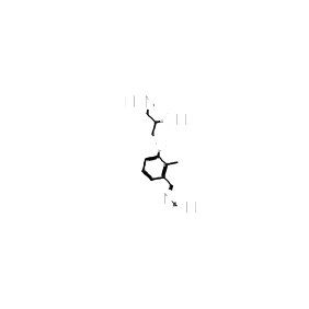 Cc1c(C=NO)cccc1OCC(O)CN